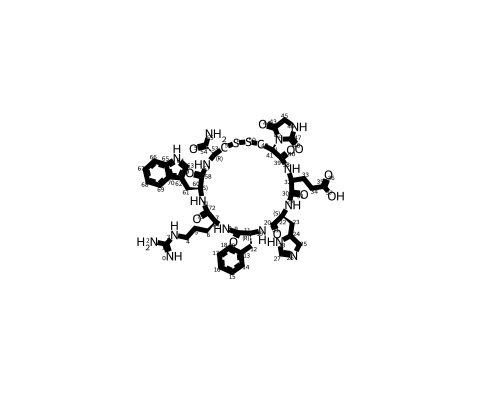 N=C(N)NCCC[C@@H]1NC(=O)[C@@H](Cc2ccccc2)NC(=O)[C@H](CC2CN=CN2)NC(=O)C(CCC(=O)O)NC(=O)[C@@H](N2C(=O)CNC2=O)CSSC[C@@H](C(N)=O)NC(=O)[C@H](Cc2c[nH]c3ccccc23)NC1=O